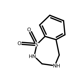 O=S1(=O)NCNCc2ccccc21